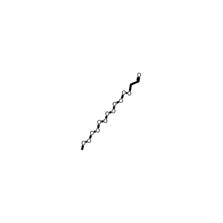 COOOOOOOOOOOOCC=O